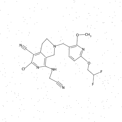 COc1nc(OCC(F)F)ccc1CN1CCc2c(C#N)c(Cl)nc(NCC#N)c2C1